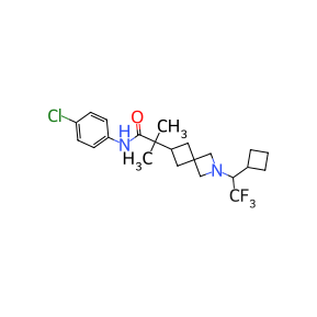 CC(C)(C(=O)Nc1ccc(Cl)cc1)C1CC2(C1)CN(C(C1CCC1)C(F)(F)F)C2